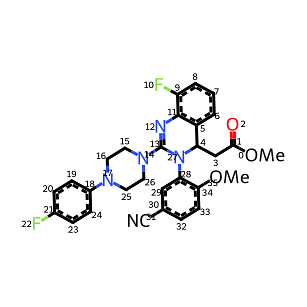 COC(=O)CC1c2cccc(F)c2N=C(N2CCN(c3ccc(F)cc3)CC2)N1c1cc(C#N)ccc1OC